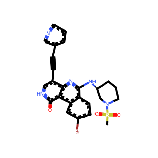 CS(=O)(=O)N1CCC[C@H](Nc2nc3c(C#Cc4cccnc4)c[nH]c(=O)c3c3cc(Br)ccc23)C1